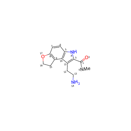 CNC(=O)c1[nH]c2ccc3c(c2c1CCN)CCO3